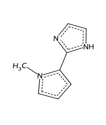 Cn1cccc1-c1ncc[nH]1